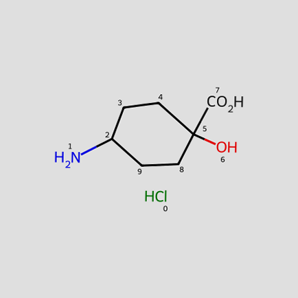 Cl.NC1CCC(O)(C(=O)O)CC1